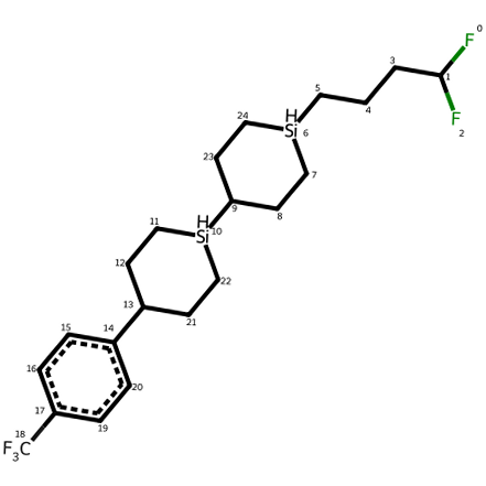 FC(F)CCC[SiH]1CCC([SiH]2CCC(c3ccc(C(F)(F)F)cc3)CC2)CC1